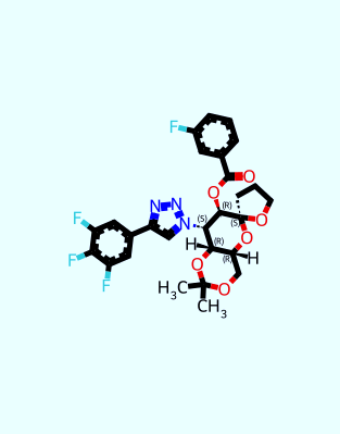 CC1(C)OC[C@H]2O[C@@]3(CCCO3)[C@H](OC(=O)c3cccc(F)c3)[C@@H](n3cc(-c4cc(F)c(F)c(F)c4)nn3)[C@H]2O1